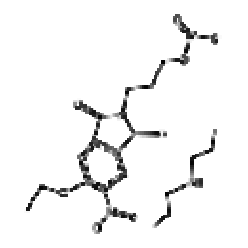 CCCNCCC.CCOc1cc2c(cc1[N+](=O)[O-])C(=O)N(CCCO[N+](=O)[O-])C2=O